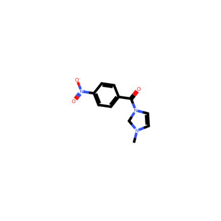 CN1C=CN(C(=O)c2ccc([N+](=O)[O-])cc2)C1